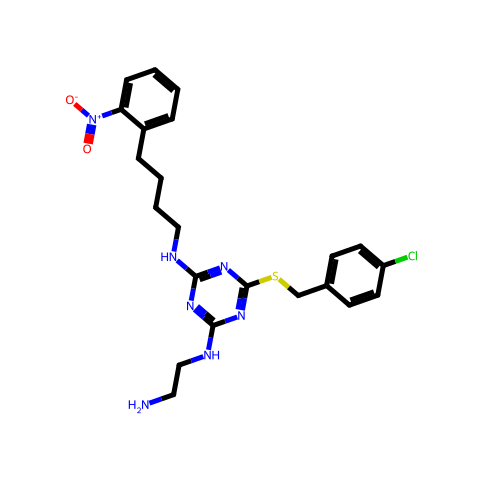 NCCNc1nc(NCCCCc2ccccc2[N+](=O)[O-])nc(SCc2ccc(Cl)cc2)n1